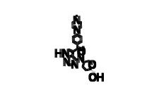 CN1CCN(c2ccc(C(=O)c3c[nH]c4ncnc(N[C@H]5CC[C@@H](CO)OC5)c34)cc2)CC1